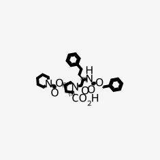 O=C(N[C@H](CCc1ccccc1)C(=O)N1C[C@H](OC(=O)N2CCCCC2)C[C@H]1C(=O)O)OCc1ccccc1